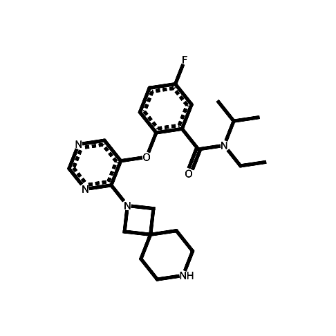 CCN(C(=O)c1cc(F)ccc1Oc1cncnc1N1CC2(CCNCC2)C1)C(C)C